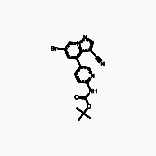 CC(C)(C)OC(=O)Nc1ccc(-c2cc(Br)cn3ncc(C#N)c23)cn1